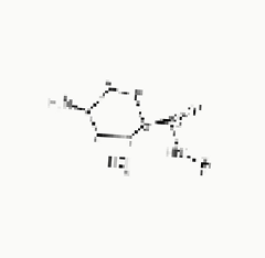 CC(C)NC(=O)[C@H]1CC[C@@H](N)CC1.Cl